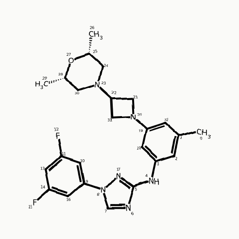 Cc1cc(Nc2ncn(-c3cc(F)cc(F)c3)n2)cc(N2CC(N3C[C@@H](C)O[C@@H](C)C3)C2)c1